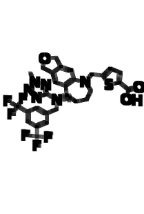 Cn1nnc(N(Cc2cc(C(F)(F)F)cc(C(F)(F)F)c2)[C@H]2CCCN(Cc3ccc(C(=O)O)s3)c3cc4c(cc32)COC4)n1